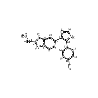 CC[C@H](C)Nc1nc2ccc(-c3ocnc3-c3ccc(F)cc3)cc2s1